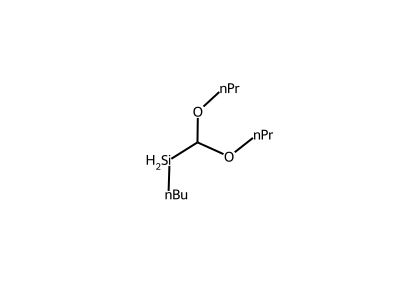 CCCC[SiH2]C(OCCC)OCCC